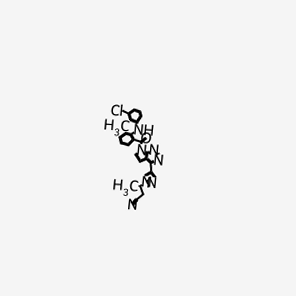 Cc1c(Cl)cccc1Nc1ccccc1C(=O)n1ccc2c(-c3cnn([C@@H](C)CC#N)c3)ncnc21